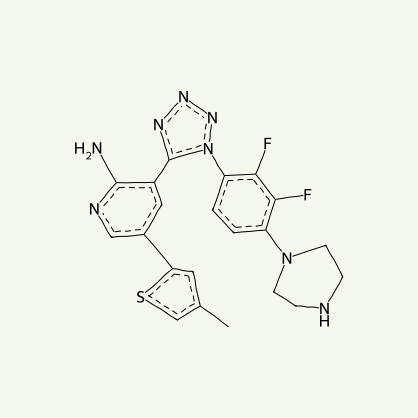 Cc1csc(-c2cnc(N)c(-c3nnnn3-c3ccc(N4CCNCC4)c(F)c3F)c2)c1